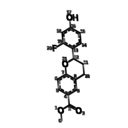 COC(=O)c1ccc2c(c1)CCC(c1ccc(O)cc1F)O2